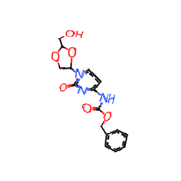 O=C(Nc1ccn(C2COC(CO)O2)c(=O)n1)OCc1ccccc1